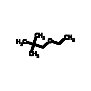 CCOCC(C)(C)C